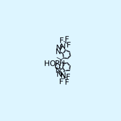 CC(c1cccc2c1nnn2C(F)(F)F)(c1cccc2c1nnn2C(F)(F)F)[PH](=O)O